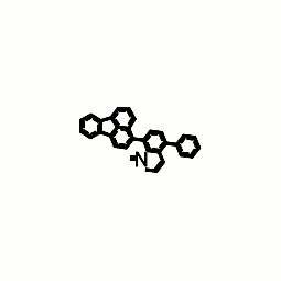 C=Nc1c(-c2ccc3c4c(cccc24)-c2ccccc2-3)ccc(-c2ccccc2)c1/C=C\C